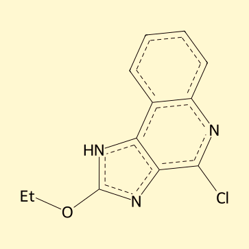 CCOc1nc2c(Cl)nc3ccccc3c2[nH]1